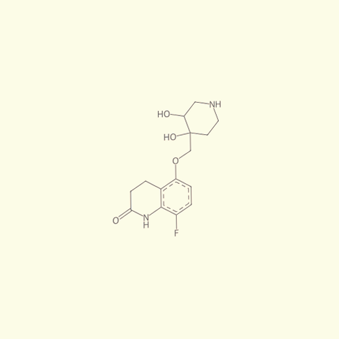 O=C1CCc2c(OCC3(O)CCNCC3O)ccc(F)c2N1